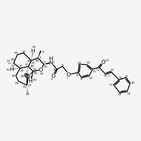 C[C@H]1[C@@H](NC(=O)COc2ccc(C(=O)/C=C/c3ccccc3)cc2)O[C@@H]2O[C@]3(C)CC[C@H]4[C@H](C)CC[C@@H]1[C@@]24OO3